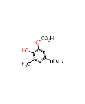 CCCCCc1cc(C)c(O)c(OC(=O)O)c1